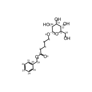 O=C(CCCCO[C@H]1OC(CO)[C@@H](O)C(O)[C@H]1O)OCc1ccccc1